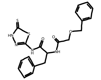 O=C(COCc1ccccc1)NC(Cc1ccccc1)C(=O)Nc1n[nH]c(=S)s1